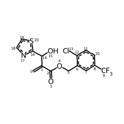 C=C(C(=O)OCc1cc(C(F)(F)F)ccc1Cl)C(O)c1nccs1